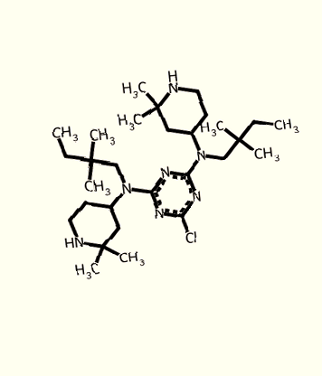 CCC(C)(C)CN(c1nc(Cl)nc(N(CC(C)(C)CC)C2CCNC(C)(C)C2)n1)C1CCNC(C)(C)C1